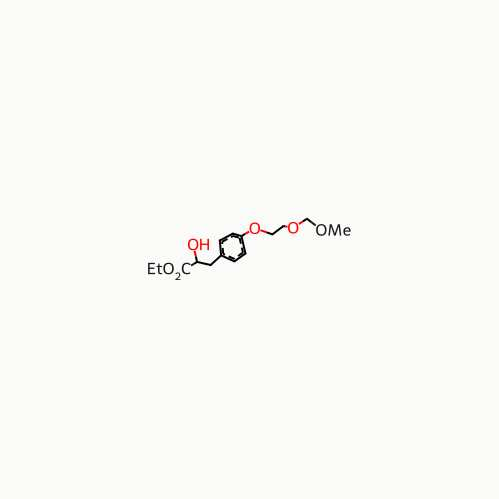 CCOC(=O)C(O)Cc1ccc(OCCOCOC)cc1